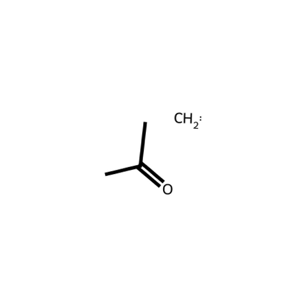 CC(C)=O.[CH2]